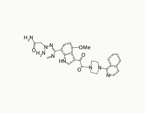 C=N/C(=N\N(N)CC(N)=O)c1ccc(OC)c2c(C(=O)C(=O)N3CCN(c4nccc5ccccc45)CC3)c[nH]c12